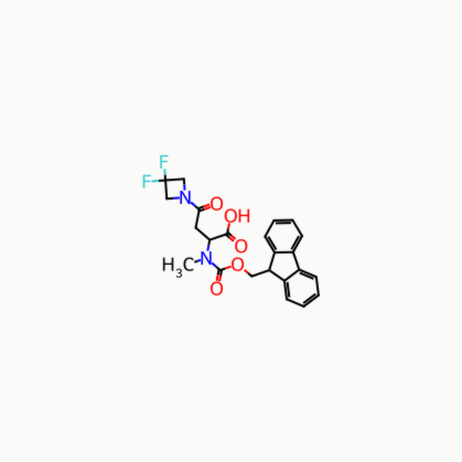 CN(C(=O)OCC1c2ccccc2-c2ccccc21)C(CC(=O)N1CC(F)(F)C1)C(=O)O